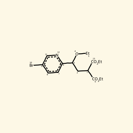 CCOC(=O)C(CC(OCC)c1ccc(Br)cn1)C(=O)OCC